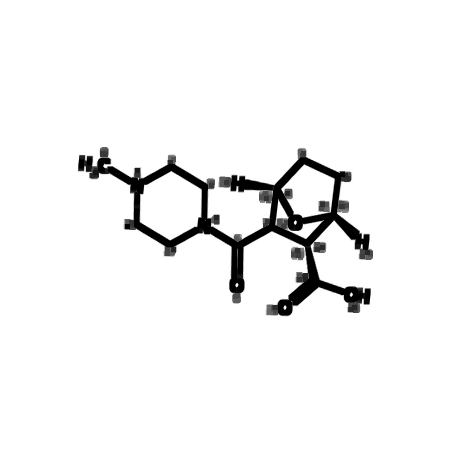 CN1CCN(C(=O)C2[C@@H]3CC[C@@H](O3)[C@H]2C(=O)O)CC1